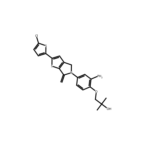 C=C1c2sc(-c3ccc(Cl)s3)cc2CN1c1ccc(OCC(C)(C)O)c(P)c1